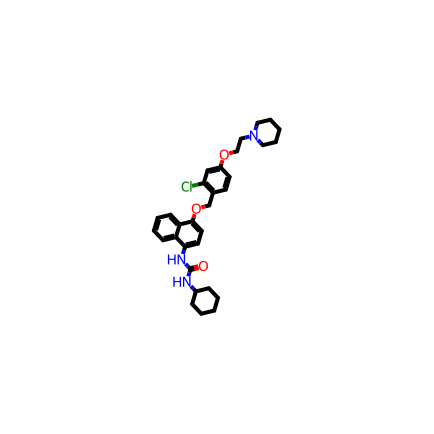 O=C(Nc1ccc(OCc2ccc(OCCN3CCCCC3)cc2Cl)c2ccccc12)NC1CCCCC1